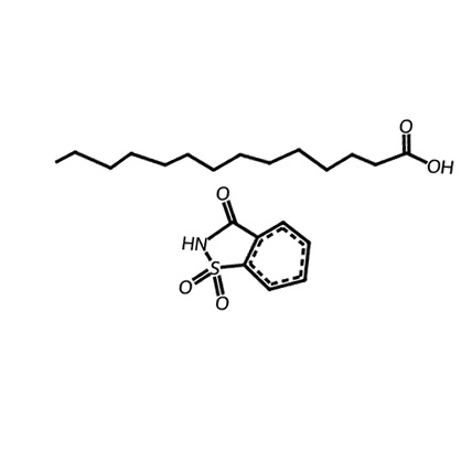 CCCCCCCCCCCCCC(=O)O.O=C1NS(=O)(=O)c2ccccc21